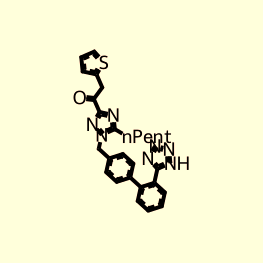 CCCCCc1nc(C(=O)Cc2cccs2)nn1Cc1ccc(-c2ccccc2-c2nnn[nH]2)cc1